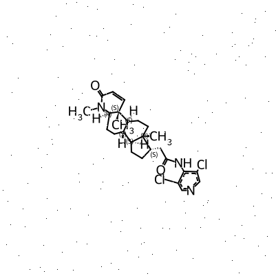 CN1C(=O)C=C[C@]2(C)[C@H]3CC[C@]4(C)[C@H](CC(=O)Nc5c(Cl)cncc5Cl)CC[C@H]4[C@@H]3CC[C@@H]12